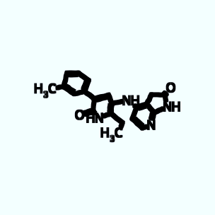 CCc1[nH]c(=O)c(-c2cccc(C)c2)cc1Nc1ccnc2c1CC(=O)N2